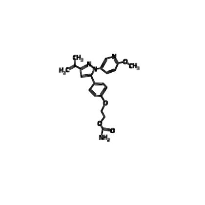 C=C(C)c1cc(-c2ccc(OCCOC(N)=O)cc2)n(-c2ccc(OC)nc2)n1